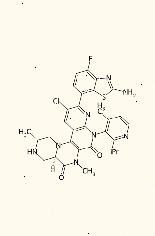 Cc1ccnc(C(C)C)c1-n1c(=O)c2c(c3cc(Cl)c(-c4ccc(F)c5nc(N)sc45)nc31)N1C[C@@H](C)NC[C@@H]1C(=O)N2C